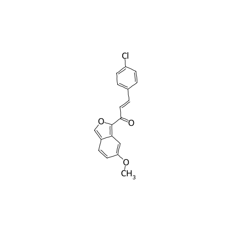 COc1ccc2coc(C(=O)C=Cc3ccc(Cl)cc3)c2c1